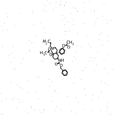 C=CCN1CC[C@@]2(c3cccc(OC(C)=O)c3)C[C@@H](NC(=O)OCc3ccccc3)CC[C@]2(OC(C)=O)C1